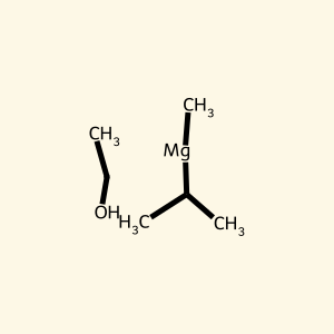 CCO.[CH3][Mg][CH](C)C